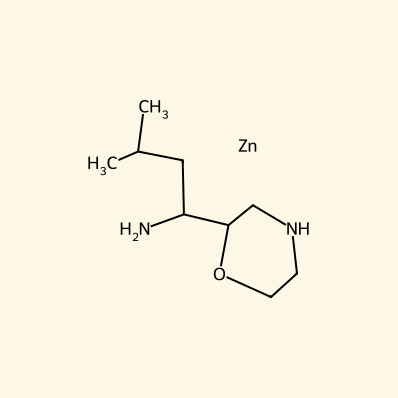 CC(C)CC(N)C1CNCCO1.[Zn]